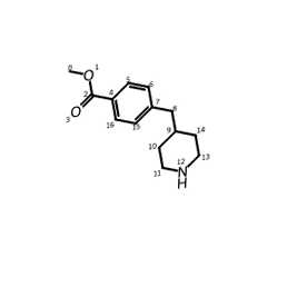 COC(=O)c1ccc(CC2CCNCC2)cc1